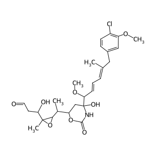 COc1cc(C/C(C)=C/C=C/C(OC)C2(O)CC(C(C)C3OC3(C)C(O)CC=O)OC(=O)N2)ccc1Cl